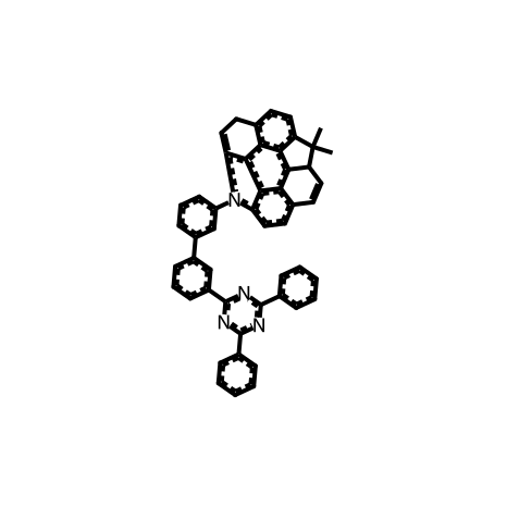 CC1(C)c2ccc3c4c2c2c5c(ccc6c5c4c(n6-c4cccc(-c5cccc(-c6nc(-c7ccccc7)nc(-c7ccccc7)n6)c5)c4)=CC3)C=CC21